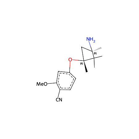 COc1cc(O[C@]2(C)C[C@@](C)(N)C2(C)C)ccc1C#N